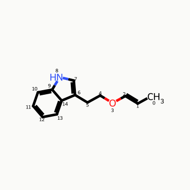 C/C=C/OCCc1c[nH]c2ccccc12